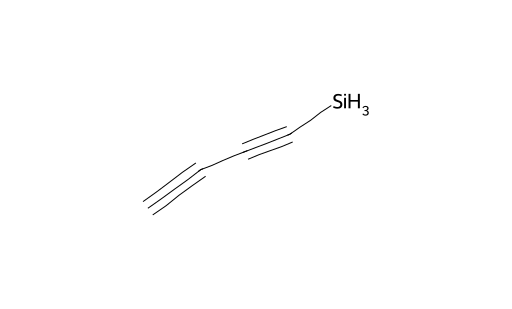 C#CC#C[SiH3]